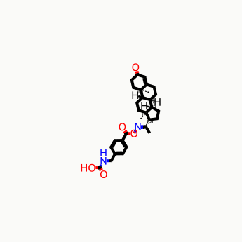 CC(=NOC(=O)c1ccc(CNC(=O)O)cc1)[C@H]1CC[C@H]2[C@@H]3CCC4=CC(=O)CC[C@]4(C)[C@H]3CC[C@]12C